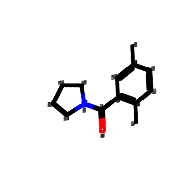 Cc1ccc(C)c(C(=O)N2CCCC2)c1